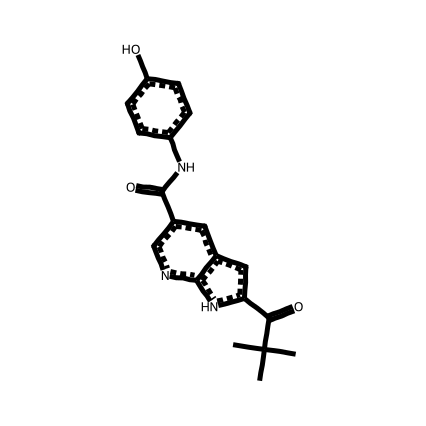 CC(C)(C)C(=O)c1cc2cc(C(=O)Nc3ccc(O)cc3)cnc2[nH]1